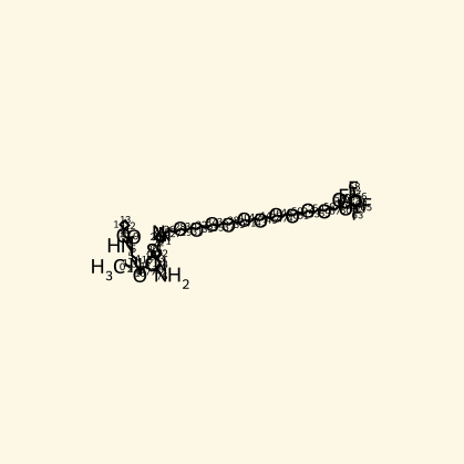 CCCN(CCCNC(=O)OC1CCC1)C(=O)C1=Cc2sc(-c3cnn(CCOCCOCCOCCOCCOCCOCCOCCOCCOCCOCCC(=O)Oc4c(F)c(F)cc(F)c4F)c3)cc2N=C(N)C1